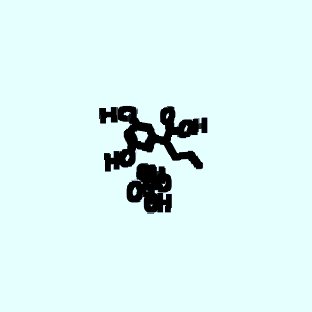 CCCC(C(=O)O)c1cc(O)cc(O)c1.O=S(=O)(O)O